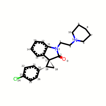 O=C1N(CCN2CCCCC2)c2ccccc2[C@@]12C[C@@H]2c1ccc(Cl)cc1